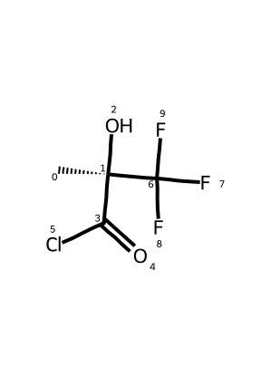 C[C@@](O)(C(=O)Cl)C(F)(F)F